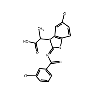 CC(C(=O)O)n1c(=NC(=O)c2cccc(Cl)c2)sc2ccc(Cl)cc21